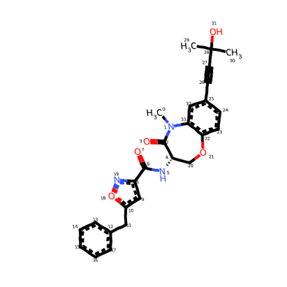 CN1C(=O)[C@@H](NC(=O)c2cc(Cc3ccccc3)on2)COc2ccc(C#CC(C)(C)O)cc21